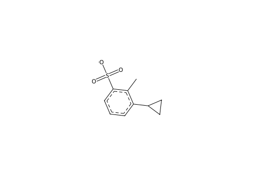 Cc1c(C2CC2)cccc1S([O])(=O)=O